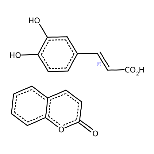 O=C(O)/C=C/c1ccc(O)c(O)c1.O=c1ccc2ccccc2o1